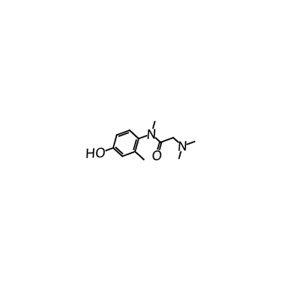 Cc1cc(O)ccc1N(C)C(=O)CN(C)C